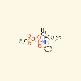 CCOC(=O)[C@H](C)NP(=O)(COS(=O)(=O)C(F)(F)F)Oc1ccccc1